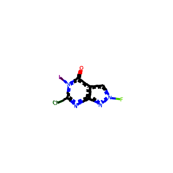 O=c1c2cn(F)nc2nc(Cl)n1I